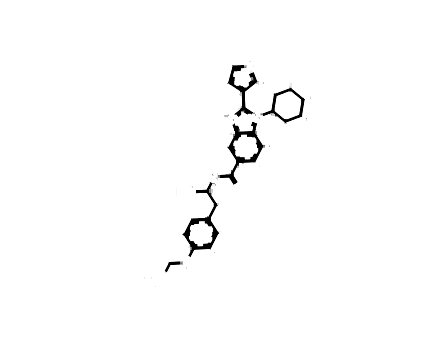 O=C(O)COc1ccc(CC(NC(=O)c2ccc3c(c2)nc(-c2ccoc2)n3C2CCCCC2)C(F)(F)F)cc1